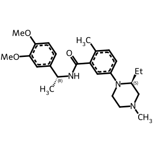 CC[C@H]1CN(C)CCN1c1ccc(C)c(C(=O)N[C@H](C)c2ccc(OC)c(OC)c2)c1